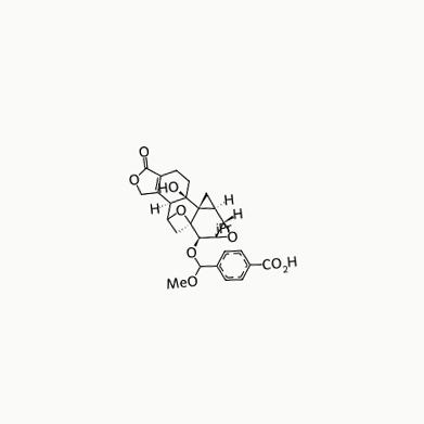 COC(O[C@@H]1[C@@]2(C(C)C)O[C@H]2[C@@H]2C[C@@]23[C@@]2(O)CCC4=C(COC4=O)[C@@H]2C2C[C@@]13O2)c1ccc(C(=O)O)cc1